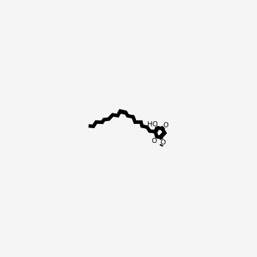 CCCCCCCC/C=C\CCCCCCCC1=C(O)C(=O)C=C(OC)C1=O